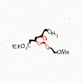 C=CC(=O)CC(CC(=O)OCC)OCOCCOC